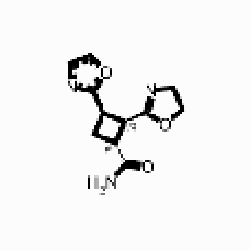 NC(=O)[C@@H]1CC(c2ncco2)[C@H]1C1=NCCO1